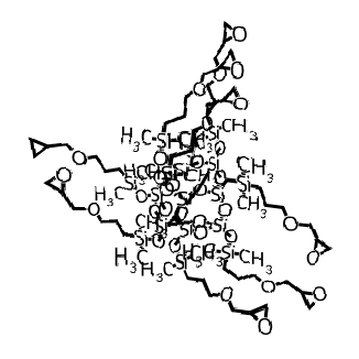 C[Si](C)(CCCOCC1CO1)C[Si]12O[Si]3(O[Si](C)(C)CCCOCC4CO4)C[Si]4(O[Si](C)(C)CCCOCC5CO5)O[Si](O[Si](C)(C)CCCOCC5CO5)(O1)O[Si]1(O[Si](C)(C)CCCOCC5CO5)O[Si](O[Si](C)(C)CCCOCC5CC5)(O4)O[Si](O[Si](C)(C)CCCOCC4CO4)(O3)O[Si](O[Si](C)(C)CCCOCC3CO3)(O2)O1